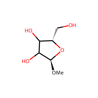 CO[C@@H]1O[C@@H](CO)C(O)C1O